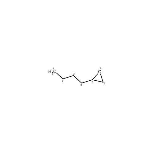 [CH2]CCCC1CO1